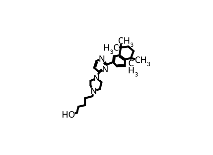 CC1(C)CCC(C)(C)c2cc(-c3nccc(N4CCN(CCCCCO)CC4)n3)ccc21